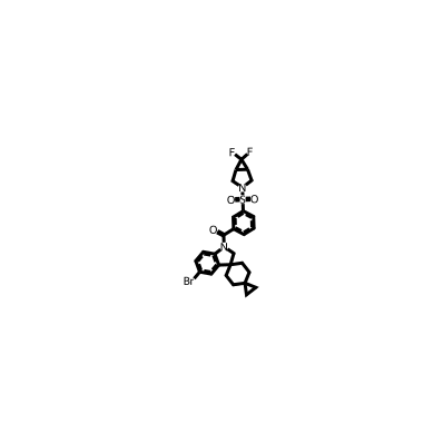 O=C(c1cccc(S(=O)(=O)N2CC3C(C2)C3(F)F)c1)N1CC2(CCC3(CC3)CC2)c2cc(Br)ccc21